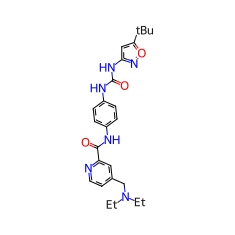 CCN(CC)Cc1ccnc(C(=O)Nc2ccc(NC(=O)Nc3cc(C(C)(C)C)on3)cc2)c1